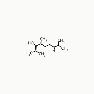 CC(C)=C(O)N(C)CCNC(C)C